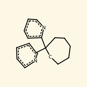 c1ccc(C2(c3ccccn3)CCCCCC2)nc1